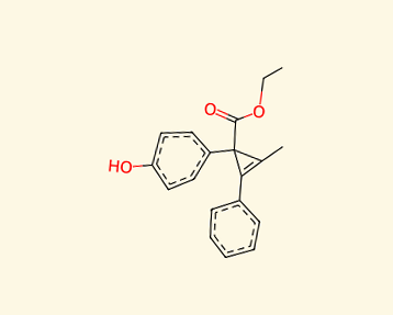 CCOC(=O)C1(c2ccc(O)cc2)C(C)=C1c1ccccc1